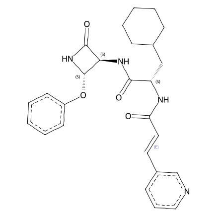 O=C(/C=C/c1cccnc1)N[C@@H](CC1CCCCC1)C(=O)N[C@@H]1C(=O)N[C@H]1Oc1ccccc1